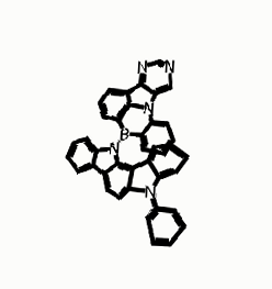 c1ccc(-n2c3ccccc3c3c4c(ccc32)c2ccccc2n4B2c3ccccc3-n3c4cncnc4c4cccc2c43)cc1